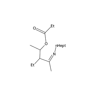 CCCCCCCN=C(C)C(CC)C(C)OC(=O)CC